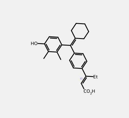 CC/C(=C\C(=O)O)c1ccc(C(=C2CCCCC2)c2ccc(O)c(C)c2C)cc1